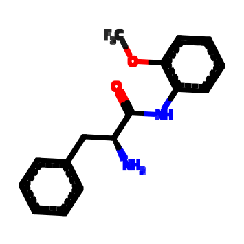 N[C@@H](Cc1ccccc1)C(=O)Nc1ccccc1OC(F)(F)F